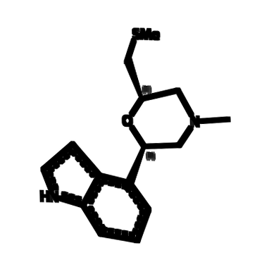 CSC[C@H]1CN(C)C[C@@H](c2cccc3[nH]ccc23)O1